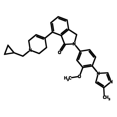 COc1cc(N2Cc3cccc(C4=CCN(CC5CC5)CC4)c3C2=O)ccc1-n1cnc(C)c1